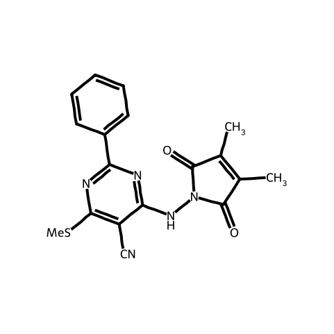 CSc1nc(-c2ccccc2)nc(NN2C(=O)C(C)=C(C)C2=O)c1C#N